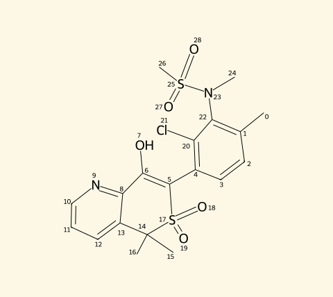 Cc1ccc(C2=C(O)c3ncccc3C(C)(C)S2(=O)=O)c(Cl)c1N(C)S(C)(=O)=O